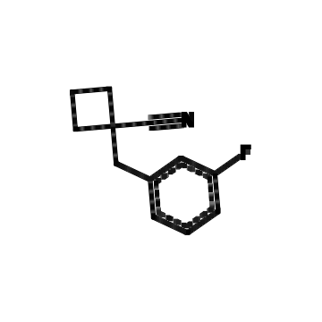 N#CC1(Cc2cccc(F)c2)CCC1